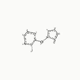 Cc1ncccc1Oc1cccs1